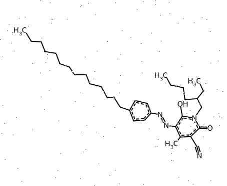 CCCCCCCCCCCCCCc1ccc(N=Nc2c(C)c(C#N)c(=O)n(CC(CC)CCCC)c2O)cc1